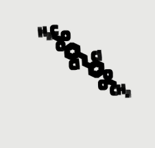 C=CC(=O)Oc1ccc(/C=C/c2ccc(OC(=O)C=C)cc2Cl)c(Cl)c1